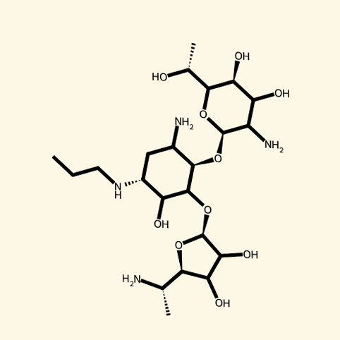 CCCN[C@@H]1CC(N)[C@@H](O[C@H]2OC([C@@H](C)O)[C@@H](O)C(O)C2N)C(O[C@@H]2O[C@H]([C@H](C)N)C(O)C2O)C1O